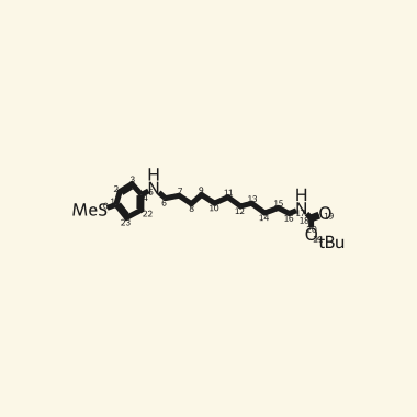 CSc1ccc(NCCCCCCCCCCCNC(=O)OC(C)(C)C)cc1